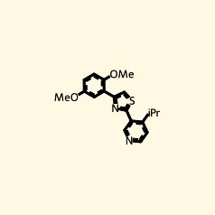 COc1ccc(OC)c(-c2csc(-c3cnccc3C(C)C)n2)c1